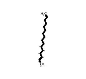 C=CCCCCC[CH]CCCCCC=CC